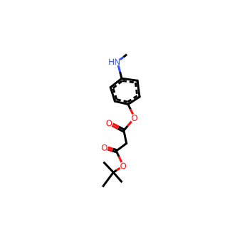 CNc1ccc(OC(=O)CC(=O)OC(C)(C)C)cc1